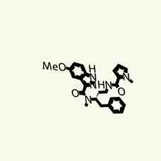 COc1ccc2[nH]nc(C(=O)N(C)[C@H](CCNC(=O)c3cccn3C)Cc3ccccc3)c2c1